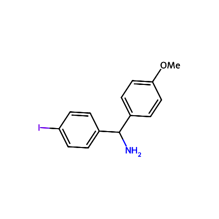 COc1ccc(C(N)c2ccc(I)cc2)cc1